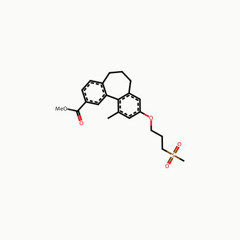 COC(=O)c1ccc2c(c1)-c1c(C)cc(OCCCS(C)(=O)=O)cc1CCC2